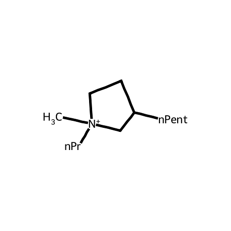 CCCCCC1CC[N+](C)(CCC)C1